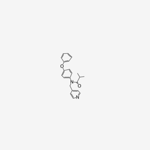 CC(C)C(=O)N(Cc1ccncc1)c1ccc(Oc2ccccc2)cc1